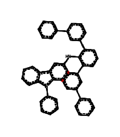 c1ccc(-c2cccc(-c3cccc(-c4cccc(-c5ccccc5)c4)c3Nc3ccc4c(c3)c3ccccc3n4-c3ccccc3)c2)cc1